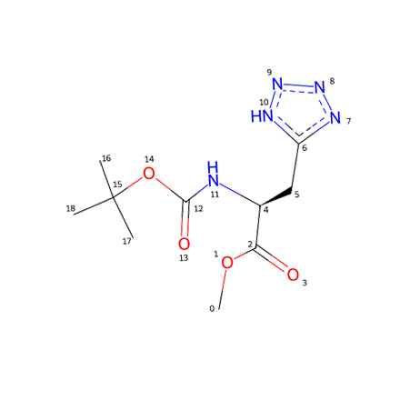 COC(=O)[C@H](Cc1nnn[nH]1)NC(=O)OC(C)(C)C